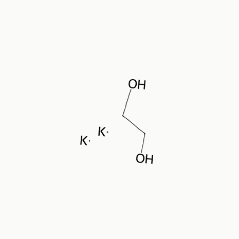 OCCO.[K].[K]